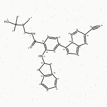 CC(C)(O)C(F)CNC(=O)c1cnc(-c2ccc3cc(C#N)cnn23)cc1NC1Cc2ccncc2C1